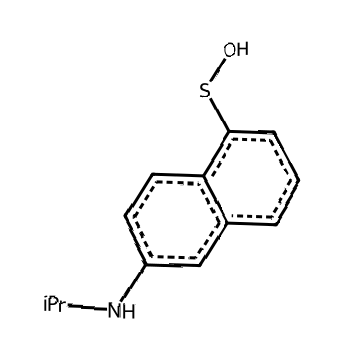 CC(C)Nc1ccc2c(SO)cccc2c1